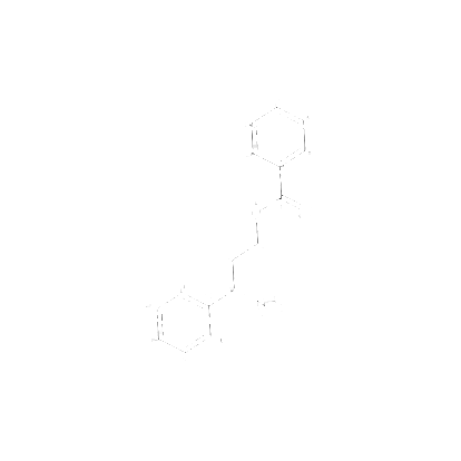 N[C@@H](CCOC(=O)c1ccccc1)c1ccccc1